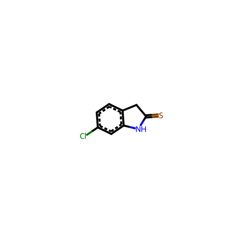 S=C1Cc2ccc(Cl)cc2N1